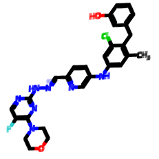 Cc1cc(Nc2ccc(/C=N/Nc3ncc(F)c(N4CCOCC4)n3)nc2)cc(Cl)c1Cc1cccc(O)c1